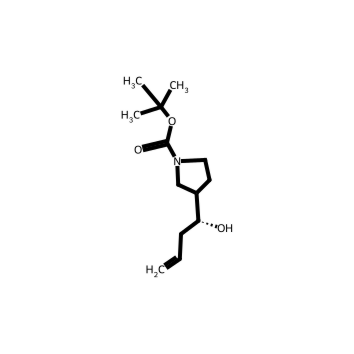 C=CC[C@@H](O)C1CCN(C(=O)OC(C)(C)C)C1